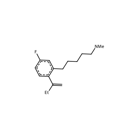 C=C(CC)c1ccc(F)cc1CCCCCNC